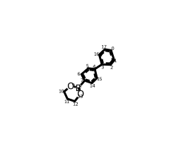 c1ccc(-c2ccc(B3OCCCO3)cc2)cc1